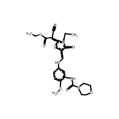 CCOC(=O)C(C#N)=c1sc(=CNc2ccc(OC)c(NC(=S)N3CCOCC3)c2)c(=O)n1CC